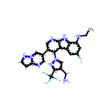 CCNc1cc(F)cc2c1[nH]c1ncc(-c3cnc4ccnn4c3)c(-n3cc(CN)c(C(F)(F)F)n3)c12